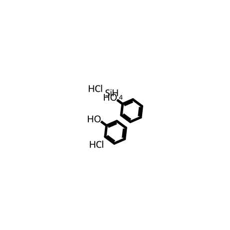 Cl.Cl.Oc1ccccc1.Oc1ccccc1.[SiH4]